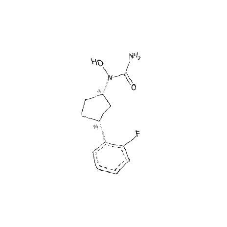 NC(=O)N(O)[C@H]1CC[C@@H](c2ccccc2F)C1